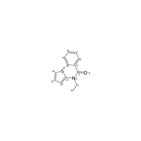 CCN(C(=O)c1ccccc1)c1cccs1